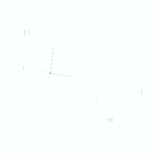 CCC(O)(CC)CCC(C)CO